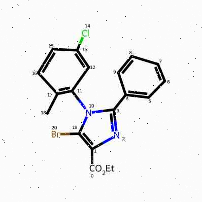 CCOC(=O)c1nc(-c2ccccc2)n(-c2cc(Cl)ccc2C)c1Br